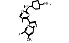 Cc1cnc(NC2CCC(N)CC2)nc1-c1cnc2cc(C(F)(F)F)c(Br)cn12